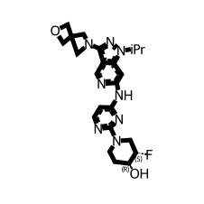 CC(C)n1nc(N2CC3(COC3)C2)c2cnc(Nc3ccnc(N4CC[C@@H](O)[C@@H](F)C4)n3)cc21